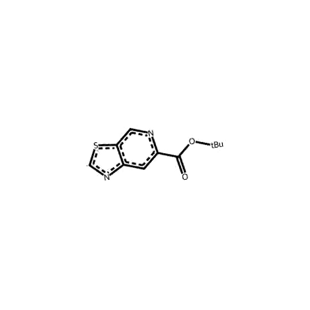 CC(C)(C)OC(=O)c1cc2n[c]sc2cn1